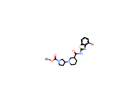 CC(C)(C)OC(=O)N1CCC(N2CCCC(C(=O)Nc3nc4c(Br)cccc4s3)C2)C1